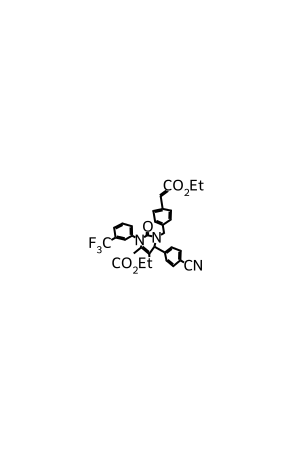 CCOC(=O)C=Cc1ccc(CN2C(=O)N(c3cccc(C(F)(F)F)c3)C(C)=C(C(=O)OCC)C2c2ccc(C#N)cc2)cc1